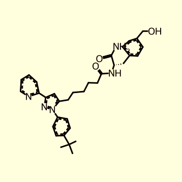 CC(C)(C)c1ccc(-n2nc(-c3ccccn3)cc2CCCCCC(=O)N[C@@H](Cc2ccc(CO)cc2)C(N)=O)cc1